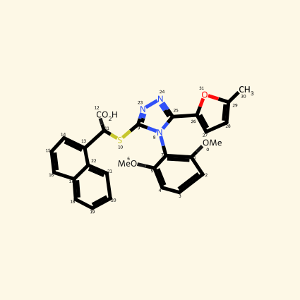 COc1cccc(OC)c1-n1c(SC(C(=O)O)c2cccc3ccccc23)nnc1-c1ccc(C)o1